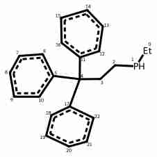 CCPCCC(c1ccccc1)(c1ccccc1)c1ccccc1